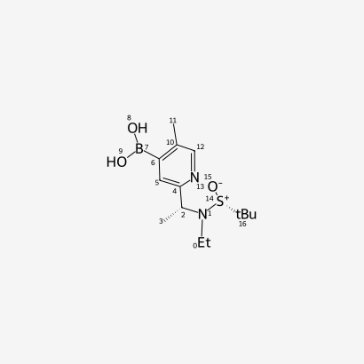 CCN([C@H](C)c1cc(B(O)O)c(C)cn1)[S@+]([O-])C(C)(C)C